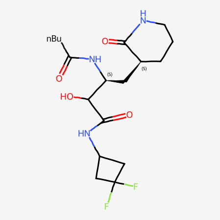 CCCCC(=O)N[C@@H](C[C@@H]1CCCNC1=O)C(O)C(=O)NC1CC(F)(F)C1